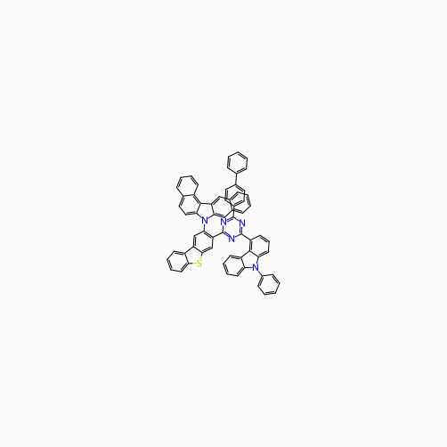 c1ccc(-c2ccc(-c3nc(-c4cc5sc6ccccc6c5cc4-n4c5cc6ccccc6cc5c5c6ccccc6ccc54)nc(-c4cccc5c4c4ccccc4n5-c4ccccc4)n3)cc2)cc1